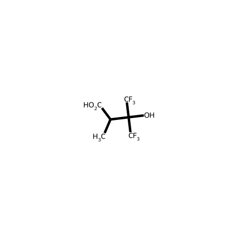 CC(C(=O)O)C(O)(C(F)(F)F)C(F)(F)F